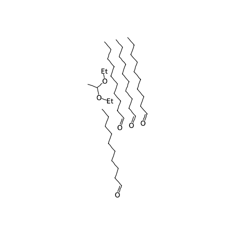 CCCCCCCCCC=O.CCCCCCCCCC=O.CCCCCCCCCC=O.CCCCCCCCCC=O.CCOC(C)OCC